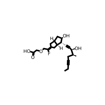 CCC#CC[C@H](C)[C@H](O)C#C[C@@H]1[C@H]2CC(=C(F)COCC(=O)O)C[C@H]2C[C@H]1O